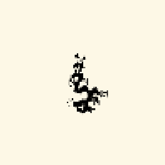 CN(C)C1CN(c2cnc3ccc(-c4c[nH]nc4-c4cc(Cl)ccc4F)nc3c2)C1